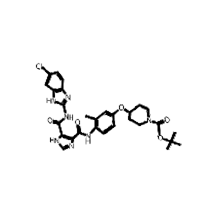 Cc1cc(OC2CCN(C(=O)OC(C)(C)C)CC2)ccc1NC(=O)c1nc[nH]c1C(=O)Nc1nc2ccc(Cl)cc2[nH]1